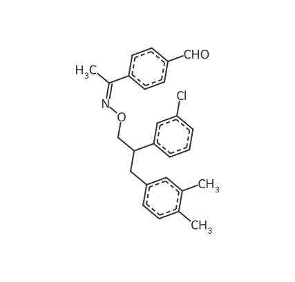 CC(=NOCC(Cc1ccc(C)c(C)c1)c1cccc(Cl)c1)c1ccc(C=O)cc1